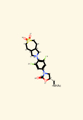 CC(=O)NC[C@H]1CN(c2cc(F)c(N3CC4CCS(=O)(=O)CCC4C3)c(F)c2)C(=O)O1